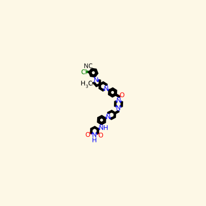 C[C@@H]1CC2(CCN(c3ccc(C(=O)N4CCN(CC5CCN(c6cccc(NC7CCC(=O)NC7=O)c6)CC5)CC4)cc3)CC2)CN1c1ccc(C#N)c(Cl)c1